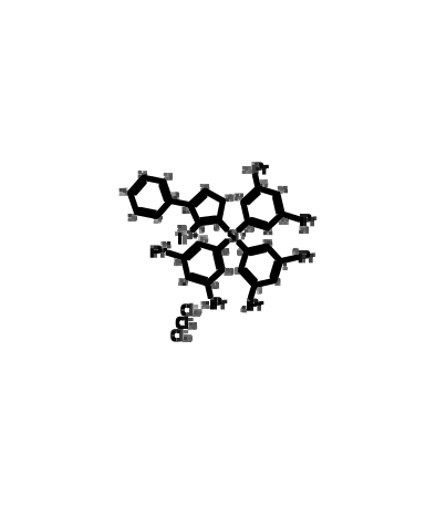 CC(C)c1cc(C(C)C)cc([Si](C2=[C]([Ti+3])C(c3ccccc3)=CC2)(c2cc(C(C)C)cc(C(C)C)c2)c2cc(C(C)C)cc(C(C)C)c2)c1.[Cl-].[Cl-].[Cl-]